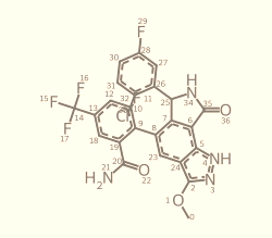 COc1n[nH]c2c3c(c(-c4c(F)cc(C(F)(F)F)cc4C(N)=O)cc12)C(c1cc(F)ccc1Cl)NC3=O